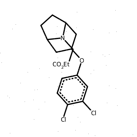 CCOC(=O)CN1C2CCC1CC(Oc1ccc(Cl)c(Cl)c1)C2